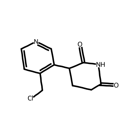 O=C1CCC(c2cnccc2CCl)C(=O)N1